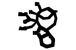 CCC1C=[N+]2CCc3c([nH]c4ccccc34)[C@@](COC(C)=O)(C(=O)OC)[C@H]1CC2